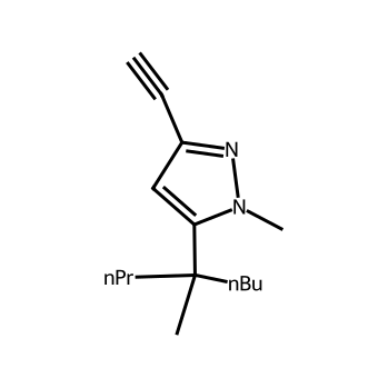 C#Cc1cc(C(C)(CCC)CCCC)n(C)n1